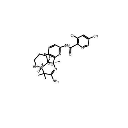 CC1(C)C(N)=N[C@](C)(c2nc(NC(=O)c3ncc(C#N)cc3Cl)ccc2F)[C@H]2CCCN[SH]21=O